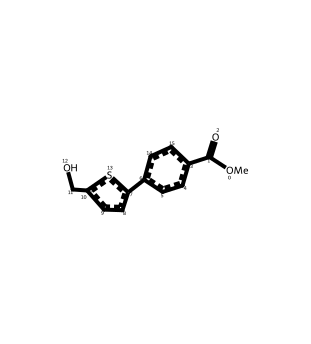 COC(=O)c1ccc(-c2ccc(CO)s2)cc1